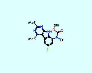 CCN(C(=O)OC(C)(C)C)c1cc(F)cc2c1[nH]c1nc(SC)nc(SC)c12